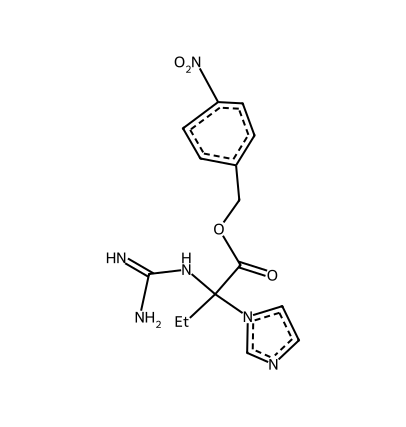 CCC(NC(=N)N)(C(=O)OCc1ccc([N+](=O)[O-])cc1)n1ccnc1